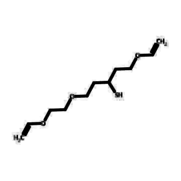 C=COCCOCCC(S)CCOC=C